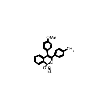 CCOP1(=O)OC(c2ccc(C)cc2)=C(c2ccc(OC)cc2)c2ccccc21